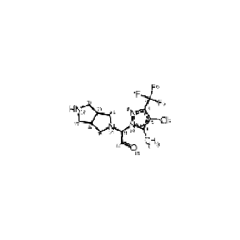 Cc1c(Cl)c(C(F)(F)F)nn1C(C=O)N1CC2CNCC2C1